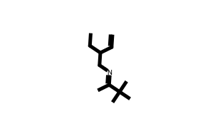 C=CC(CC)C/N=C(\C)C(C)(C)C